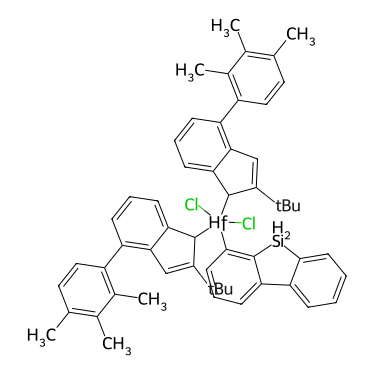 Cc1ccc(-c2cccc3c2C=C(C(C)(C)C)[CH]3[Hf]([Cl])([Cl])([c]2cccc3c2[SiH2]c2ccccc2-3)[CH]2C(C(C)(C)C)=Cc3c(-c4ccc(C)c(C)c4C)cccc32)c(C)c1C